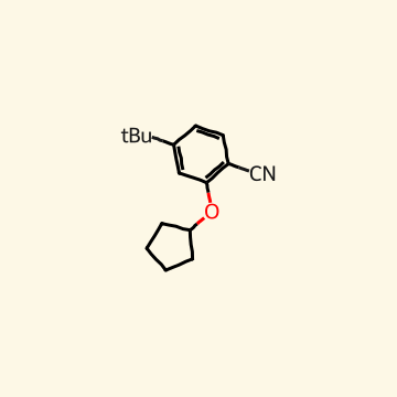 CC(C)(C)c1ccc(C#N)c(OC2CCCC2)c1